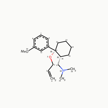 C=CCO[C@]1(c2cccc(OC)c2)CCCC[C@@H]1CN(C)C